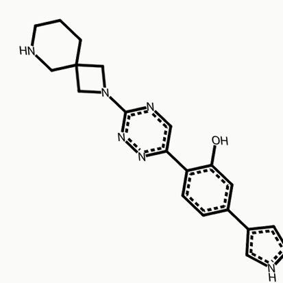 Oc1cc(-c2cn[nH]c2)ccc1-c1cnc(N2CC3(CCCNC3)C2)nn1